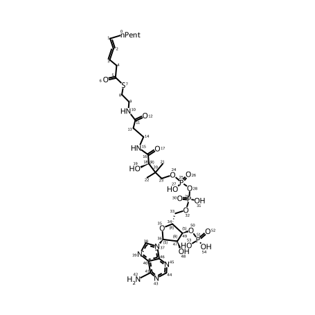 CCCCCC=C=CCC(=O)SCCNC(=O)CCNC(=O)[C@H](O)C(C)(C)COP(=O)(O)OP(=O)(O)OC[C@H]1O[C@H](n2cnc3c(N)ncnc32)[C@H](O)[C@@H]1OP(=O)(O)O